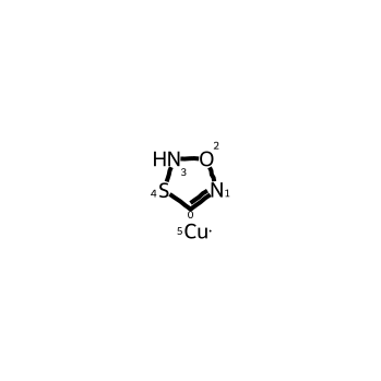 C1=NONS1.[Cu]